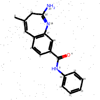 CC1=Cc2ccc(C(=O)Nc3ccccc3)cc2N=C(N)C1